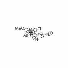 COc1ccc(S(=O)(=O)N2C(=O)C(c3ccccc3OC)(N3C[C@H](OC(=O)CCN4CCOCC4)C[C@H]3C(=O)N(C)C)c3cc(Cl)ccc32)c(OC)c1